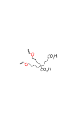 C=COCCCCC(CCCCOC=C)(CCCC(=O)O)C(=O)O